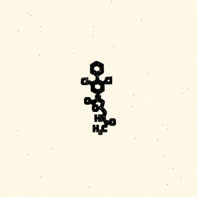 CC(=O)NCC1CN(c2cc(Cl)c(-c3ccccc3)c(Cl)c2)C(=O)O1